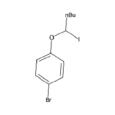 CCCCC(I)Oc1ccc(Br)cc1